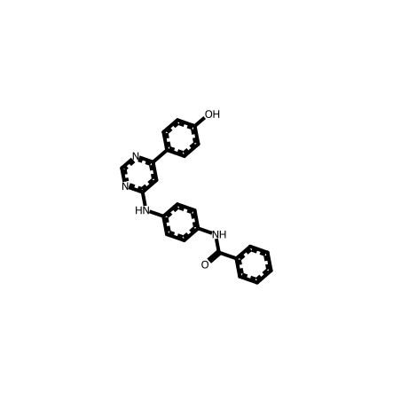 O=C(Nc1ccc(Nc2cc(-c3ccc(O)cc3)ncn2)cc1)c1ccccc1